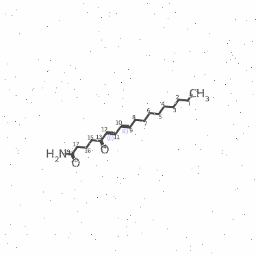 CCCCCCCCC/C=C/C=C/C(=O)CCCC(N)=O